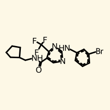 O=C(NCC1CCCC1)c1cnc(Nc2cccc(Br)c2)nc1C(F)(F)F